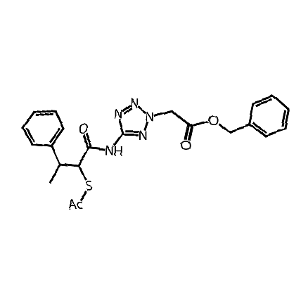 CC(=O)SC(C(=O)Nc1nnn(CC(=O)OCc2ccccc2)n1)C(C)c1ccccc1